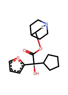 O=C(OC1CN2CCC1CC2)[C@@](O)(c1ccco1)C1CCCC1